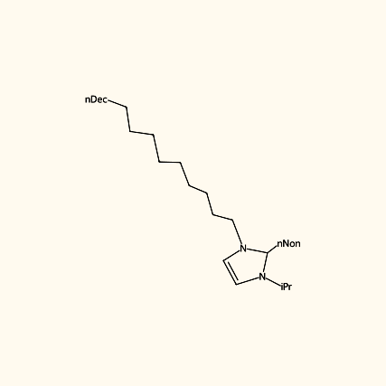 CCCCCCCCCCCCCCCCCCCN1C=CN(C(C)C)C1CCCCCCCCC